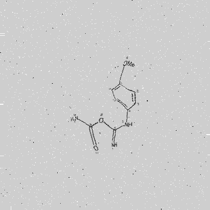 COc1ccc(NC(=N)OC(N)=O)cc1